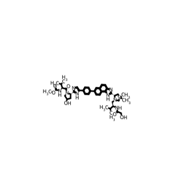 COC(=O)N[C@H](C(=O)N1CC(O)C[C@H]1c1ncc(-c2ccc(-c3ccc4c(ccc5nc([C@@H]6C[Si](C)(C)CN6C[C@@H](NC(=O)CO)C(C)C)[nH]c54)c3)cc2)[nH]1)C(C)C